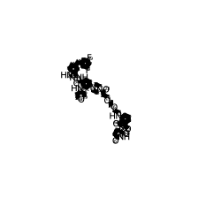 O=C1CCC(N2C(=O)c3cccc(NCCOCCOCCC(=O)N4CCN(c5ccc(C(=O)Nc6n[nH]c7ccc(Cc8cc(F)cc(F)c8)cc67)c(NC6CCOCC6)c5)CC4)c3C2=O)C(=O)N1